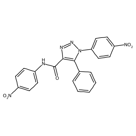 O=C(Nc1ccc([N+](=O)[O-])cc1)c1nnn(-c2ccc([N+](=O)[O-])cc2)c1-c1ccccc1